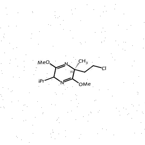 COC1=N[C@@](C)(CCCl)C(OC)=NC1C(C)C